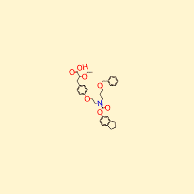 CCOC(Cc1ccc(OCCN(CCCOCc2ccccc2)C(=O)Oc2ccc3c(c2)CCC3)cc1)C(=O)O